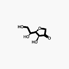 O=C1CO[C@H]([C@H](O)CO)[C@@H]1O